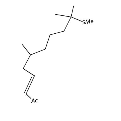 CSC(C)(C)CCCC(C)C/C=C/C(C)=O